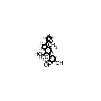 CC12CCC([C@@]3(C)CC[C@H](O)C[C@@H]3CO)C(CO)C1CC=C2c1ccco1